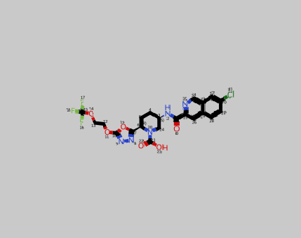 O=C(N[C@H]1CC[C@H](c2nnc(OCCOC(F)(F)F)o2)N(C(=O)O)C1)c1cc2ccc(Cl)cc2cn1